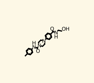 Cc1ccc(NC(=O)N2CCN(c3ccc(C(=O)NCCO)cc3)CC2)cc1